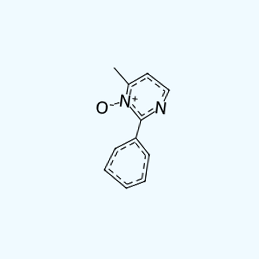 Cc1ccnc(-c2ccccc2)[n+]1[O-]